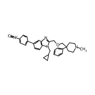 [C-]#[N+]c1ccc(-c2ccc3c(c2)nc(COCC2(c4ccccc4)CCN(C)CC2)n3CC2CC2)cc1